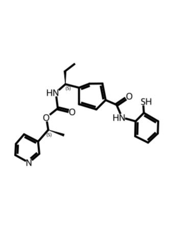 CC[C@H](NC(=O)O[C@@H](C)c1cccnc1)c1ccc(C(=O)Nc2ccccc2S)cc1